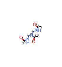 CC(=O)NCN(CNC(C)=O)C(C)=O